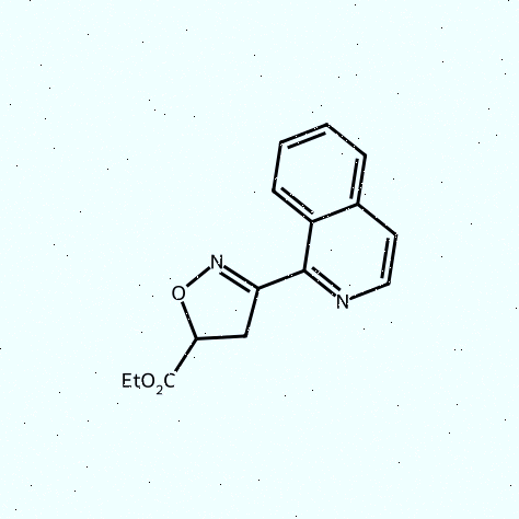 CCOC(=O)C1CC(c2nccc3ccccc23)=NO1